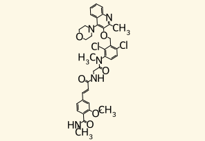 CNC(=O)c1ccc(C=CC(=O)NCC(=O)N(C)c2ccc(Cl)c(COc3c(C)nc4ccccc4c3N3CCOCC3)c2Cl)cc1OC